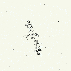 Cc1ccc(N2CC(C)N(CCCOc3ccc(NC(N)=O)cc3)C(C)C2)cc1